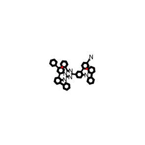 N#Cc1ccc(-c2cc(-c3nc(-c4ccccc4)nc(-n4c5ccccc5c5cccc(-c6cccc(-c7ccccc7)c6)c54)n3)ccc2-n2c3ccccc3c3ccccc32)cc1